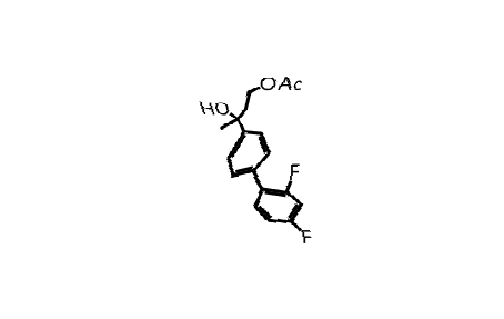 CC(=O)OCCC(C)(O)c1ccc(-c2ccc(F)cc2F)cc1